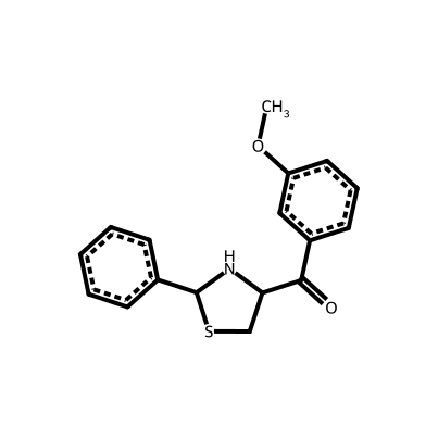 COc1cccc(C(=O)C2CSC(c3ccccc3)N2)c1